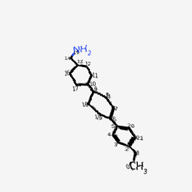 CCc1ccc(C2CCC(C3CCC(CN)CC3)CC2)cc1